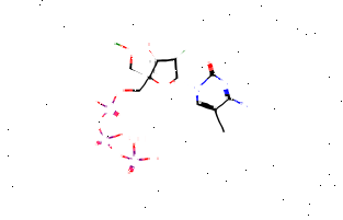 Cc1cn([C@@H]2O[C@](COCl)(COP(=O)(O)OP(=O)(O)OP(=O)(O)O)[C@@H](O)[C@H]2F)c(=O)nc1N